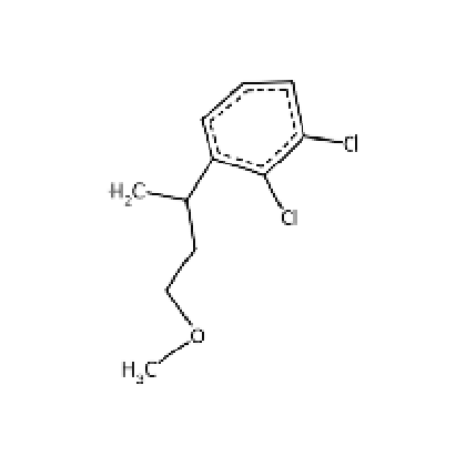 [CH2]C(CCOC)c1cccc(Cl)c1Cl